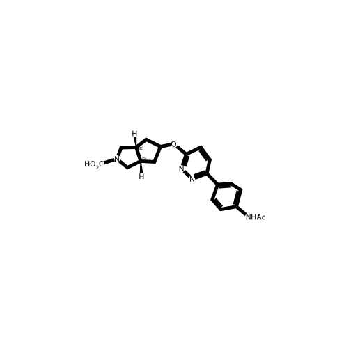 CC(=O)Nc1ccc(-c2ccc(OC3C[C@@H]4CN(C(=O)O)C[C@@H]4C3)nn2)cc1